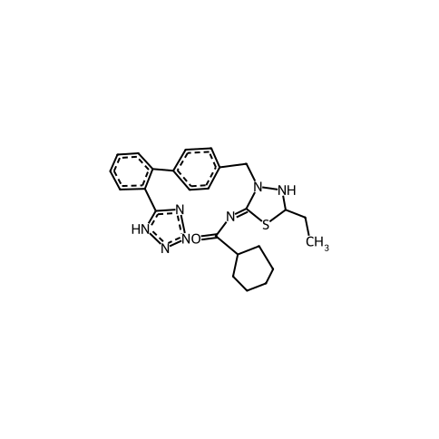 CCC1NN(Cc2ccc(-c3ccccc3-c3nnn[nH]3)cc2)C(=NC(=O)C2CCCCC2)S1